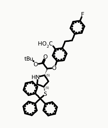 CC(C)(C)OC(=O)C(Oc1ccc(CCc2ccc(F)cc2)c(C(=O)O)c1)[C@@H]1C[C@H](SC(c2ccccc2)(c2ccccc2)c2ccccc2)CN1